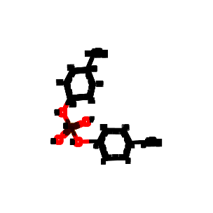 CC(C)(C)c1ccc(OS(=O)(=O)Oc2ccc(C(C)(C)C)cc2)cc1